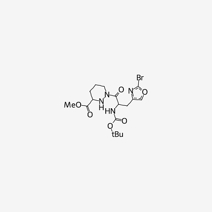 COC(=O)C1CCCN(C(=O)C(Cc2coc(Br)n2)NC(=O)OC(C)(C)C)N1